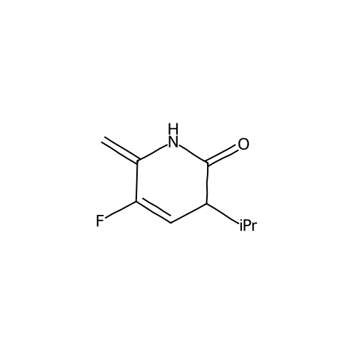 C=C1NC(=O)C(C(C)C)C=C1F